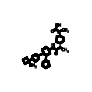 CC(C(=O)Nc1cnc(-c2ccc(C3(N)CCC3)cc2)c(-c2ccccc2)c1)[C@H]1CC[C@H](N(C)C(=O)O)CC1